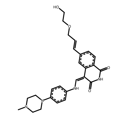 CN1CCN(c2ccc(NC=C3C(=O)NC(=O)c4ccc(C=CCOCCO)cc43)cc2)CC1